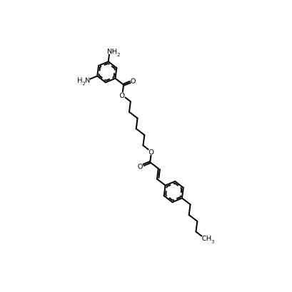 CCCCCc1ccc(/C=C/C(=O)OCCCCCCOC(=O)c2cc(N)cc(N)c2)cc1